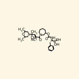 C[C@H]1CN(C(C)(C)C=C(C#N)C(=O)N2CCCCC(OC(=O)N[C@@H](Cc3ccccc3)B(O)O)C2)C[C@H](C)O1